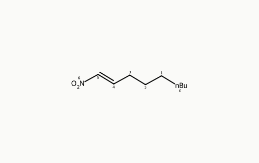 CCCCCCC/C=C/[N+](=O)[O-]